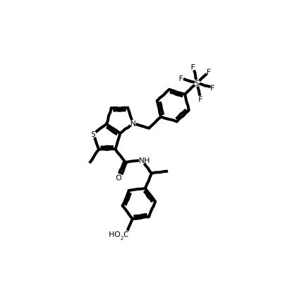 Cc1sc2ccn(Cc3ccc(S(F)(F)(F)(F)F)cc3)c2c1C(=O)NC(C)c1ccc(C(=O)O)cc1